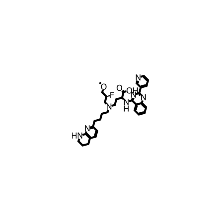 COC[C@@H](F)CN(CCCCc1ccc2c(n1)NCCC2)CCC(Nc1nc(-c2cccnc2)nc2ccccc12)C(=O)O